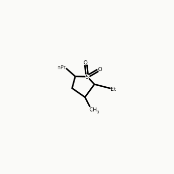 CCCC1CC(C)C(CC)S1(=O)=O